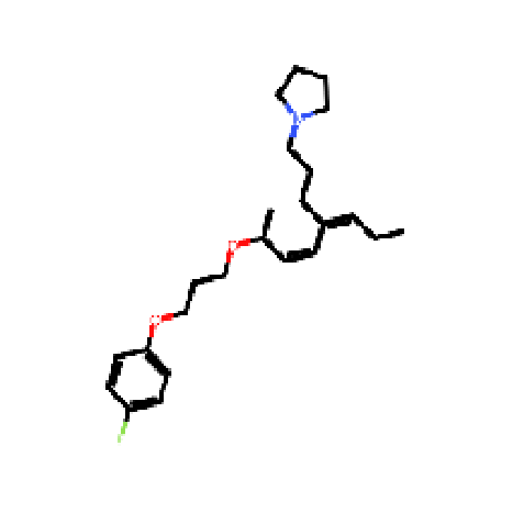 CC/C=C(\C=C/C(C)OCCCOc1ccc(F)cc1)CCCN1CCCC1